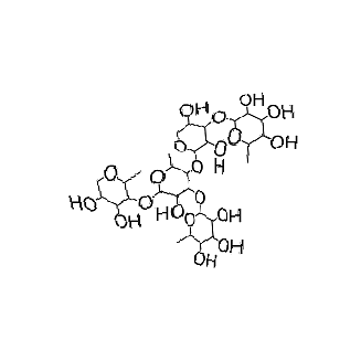 CC1OC(OC2C(O)COC(OC3C(C)OC(OC4C(C)OCC(O)C4O)C(O)C3OC3OC(C)C(O)C(O)C3O)C2O)C(O)C(O)C1O